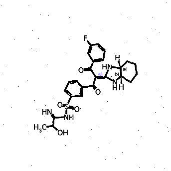 CC(O)C(=N)NS(=O)(=O)c1cccc(C(=O)/C(C(=O)c2cccc(F)c2)=C2\N[C@H]3CCCC[C@H]3N2)c1